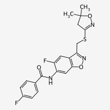 CC1(C)CC(SCc2noc3cc(NC(=O)c4ccc(F)cc4)c(F)cc23)=NO1